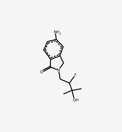 CC(C)(O)C(F)CN1Cc2cc(N)ccc2C1=O